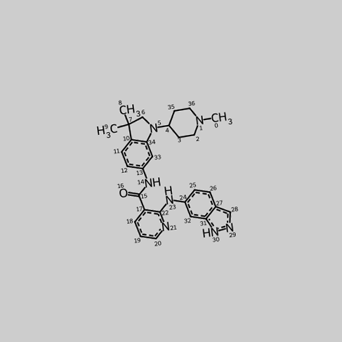 CN1CCC(N2CC(C)(C)c3ccc(NC(=O)c4cccnc4Nc4ccc5cn[nH]c5c4)cc32)CC1